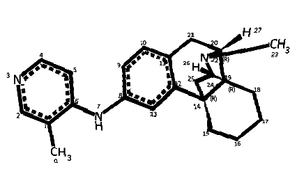 Cc1cnccc1Nc1ccc2c(c1)[C@@]13CCCC[C@H]1[C@@H](C2)N(C)CC3